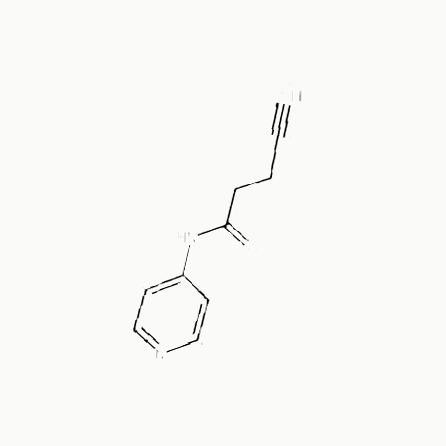 C#CCCC(=O)Nc1ccncc1